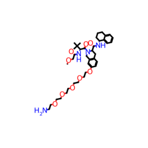 COCC(=O)N[C@H](C(=O)N1Cc2cc(OCCOCCOCCOCCOCCN)ccc2CC1C(=O)N[C@@H]1CCCc2ccccc21)C(C)(C)C